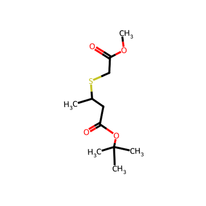 COC(=O)CSC(C)CC(=O)OC(C)(C)C